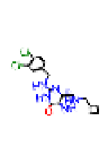 N=C1C(=O)NC(NCc2ccc(Cl)c(Cl)c2)=N/C1=C/NCC1CCC1